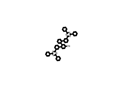 N#Cc1ccc(-c2cccc(-c3nc(-c4ccccc4)nc(-c4ccccc4)n3)c2)c(-c2ccccc2-c2cccc(-c3nc(-c4ccccc4)nc(-c4ccccc4)n3)c2)c1